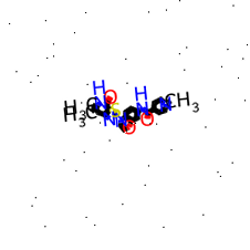 CN1CCC(C(=O)Nc2ccc3c(c2)OCCN3c2nc3c(s2)C(=O)NC(C)(C)C3)CC1